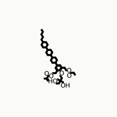 C=C(C)C(=O)OCCc1cc(C2CCC(C3CCC(C4CCC(CCCCC)CC4)CC3)CC2)cc(CCOC(=O)CC)c1OCCC(CC)(CO)CO